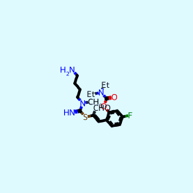 CCN(CC)C(=O)Oc1cc(F)ccc1/C=C(\C=O)SC(=N)N(C)CCCCN